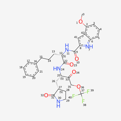 COc1cccc2[nH]c(C(=O)N[C@@H](CCCc3ccccc3)C(=O)N[C@@H](C[C@@H]3CCNC3=O)C(=O)COC(F)(F)F)cc12